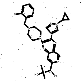 CC(C)(O)[C@H](O)c1cc2nc(N3CCN(Cc4ccccc4F)CC3)c(-c3cnn(C4CC4)c3)nc2cn1